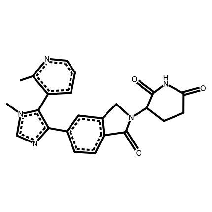 Cc1ncccc1-c1c(-c2ccc3c(c2)CN(C2CCC(=O)NC2=O)C3=O)ncn1C